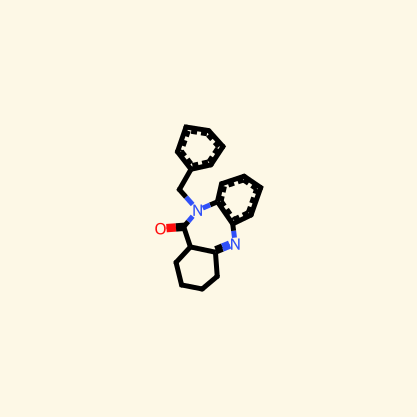 O=C1C2CCCCC2=Nc2ccccc2N1Cc1ccccc1